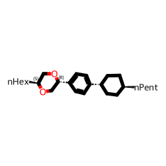 CCCCCC[C@H]1CO[C@H](c2ccc([C@H]3CC[C@H](CCCCC)CC3)cc2)CO1